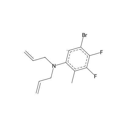 C=CCN(CC=C)c1[c]c(Br)c(F)c(F)c1C